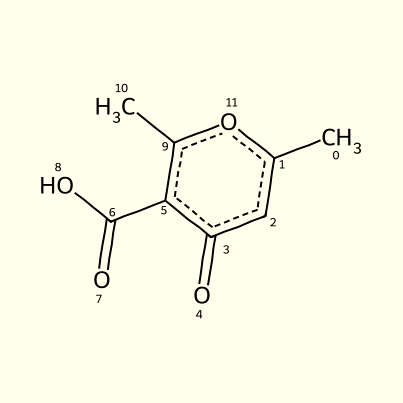 Cc1cc(=O)c(C(=O)O)c(C)o1